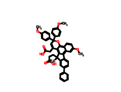 COc1ccc(C2(c3ccc(OC)cc3)C=C(CC(=O)O)c3c4c(c5cc(OC)ccc5c3O2)-c2ccc(-c3ccccc3)cc2C4(C)CCC(=O)O)cc1